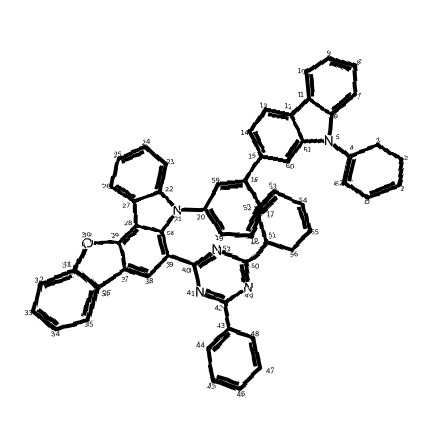 C1=CCCC(n2c3ccccc3c3ccc(-c4cccc(-n5c6ccccc6c6c7oc8ccccc8c7cc(-c7nc(-c8ccccc8)nc(C8C=CC=CC8)n7)c65)c4)cc32)=C1